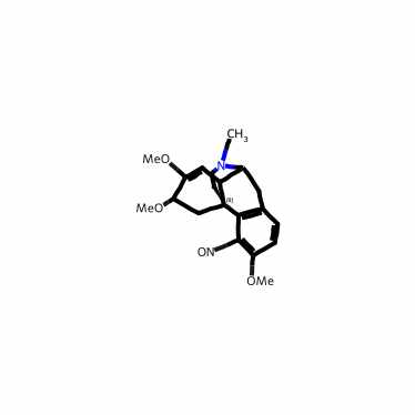 COC1=CC2C3Cc4ccc(OC)c(N=O)c4[C@]2(CCN3C)CC1OC